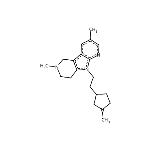 Cc1cnc2c(c1)c1c(n2CCC2CCN(C)C2)CCN(C)C1